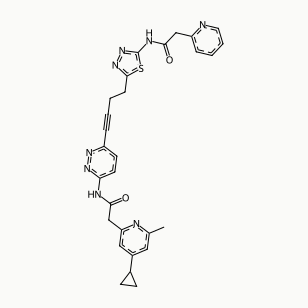 Cc1cc(C2CC2)cc(CC(=O)Nc2ccc(C#CCCc3nnc(NC(=O)Cc4ccccn4)s3)nn2)n1